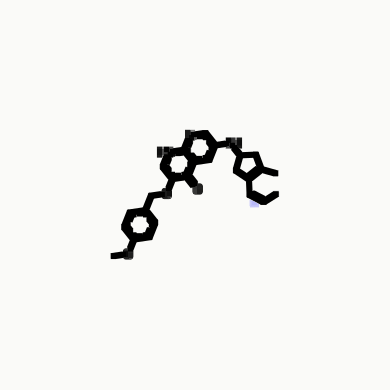 C/C=C\C1=C(C)CC(Nc2cnc3[nH]cc(OCc4ccc(OC)cc4)c(=O)c3c2)C1